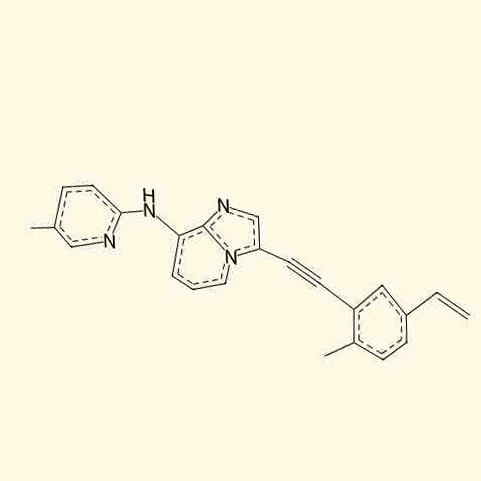 C=Cc1ccc(C)c(C#Cc2cnc3c(Nc4ccc(C)cn4)cccn23)c1